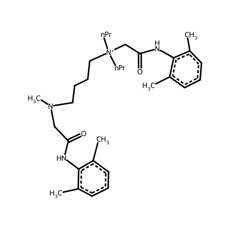 CCC[N+](CCC)(CCCCN(C)CC(=O)Nc1c(C)cccc1C)CC(=O)Nc1c(C)cccc1C